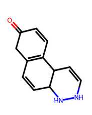 O=C1C=CC2=C(C=CC3NNC=CC23)C1